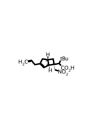 C=CCC1=C[C@H]2[C@H](C1)C[C@@]2(C[N+](=O)[O-])C(C(=O)O)C(C)(C)C